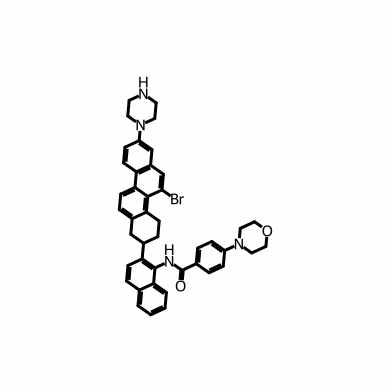 O=C(Nc1c(C2CCc3c(ccc4c3c(Br)cc3cc(N5CCNCC5)ccc34)C2)ccc2ccccc12)c1ccc(N2CCOCC2)cc1